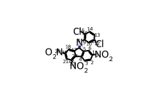 O=[N+]([O-])c1ccc2c(c1)/C(=N\c1cc(Cl)ccc1Cl)c1cc([N+](=O)[O-])cc([N+](=O)[O-])c1-2